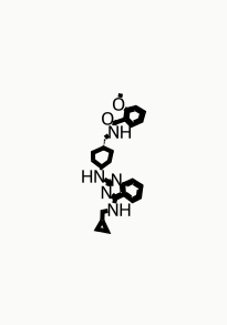 COc1ccccc1C(=O)NC[C@H]1CC[C@H](Nc2nc(NCC3CC3)c3ccccc3n2)CC1